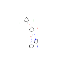 COc1cc([C@H](Nc2ccc(C#N)cc2)C(=O)NCc2ccccc2)ccc1OCc1c(Cl)cccc1Cl